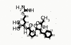 CCC(=O)NC(Cc1ccccc1)C(=O)N1CCCC1C(=O)NC(CCCSC(=N)N)B(O)O